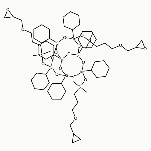 C[Si](C)(CCCOCC1CC1)O[Si]1(C2CCCCC2)O[Si]2(C3CCCCC3)O[Si](O[Si](C)(C)CCCOCC3CO3)(C3CCCCC3)O[Si]3(C4CCCCC4)O[Si](O[Si](C)(C)CCCOCC4CO4)(C4CCCCC4)O[Si](C4CCCCC4)(O1)O[Si](C1CCCCC1)(O2)O3